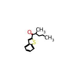 CCCC(C)C(=O)c1cc2ccccc2s1